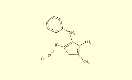 CC1=C(C)C([SiH2]c2ccccc2)=[C]([Ti+3])C1.[Cl-].[Cl-].[Cl-]